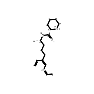 C=C/C(=C\N=C/C)CCC[C@H](C)OC(=O)[C@@H]1CCCCN1